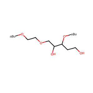 CCCCOCCOCC(O)C(CCO)OCCCC